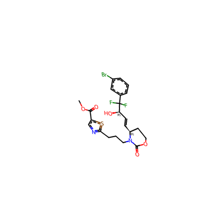 COC(=O)c1cnc(CCCN2C(=O)OCC[C@@H]2C=C[C@@H](O)C(F)(F)c2cccc(Br)c2)s1